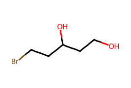 OCCC(O)CCBr